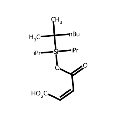 CCCCC(C)(C)[Si](OC(=O)/C=C\C(=O)O)(C(C)C)C(C)C